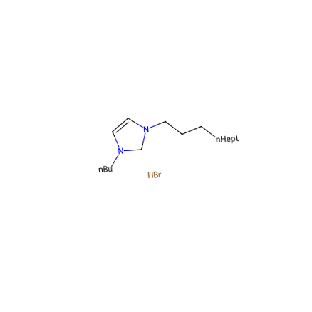 Br.CCCCCCCCCCN1C=CN(CCCC)C1